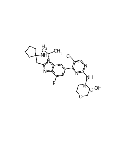 CC(C)n1c(CC2(N)CCCC2)nc2c(F)cc(-c3nc(N[C@@H]4CCOC[C@H]4O)ncc3Cl)cc21